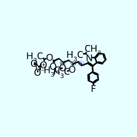 CO[C@@H](CC(=O)OC(C)O[N+](=O)[O-])C[C@@H](/C=C/c1c(-c2ccc(F)cc2)c2ccccc2n1C(C)C)OC